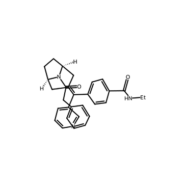 CCNC(=O)c1ccc(/C(=C2/C[C@H]3CC[C@@H](C2)N3C(=O)Cc2ccccc2)c2cccnc2)cc1